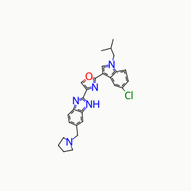 CC(C)Cn1cc(-c2nc(-c3nc4ccc(CN5CCCC5)cc4[nH]3)co2)c2cc(Cl)ccc21